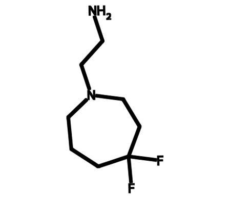 NCCN1CCCC(F)(F)CC1